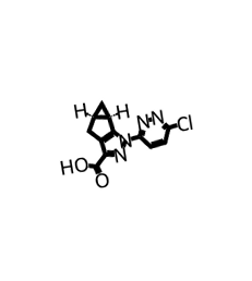 O=C(O)c1nn(-c2ccc(Cl)nn2)c2c1C[C@H]1C[C@@H]21